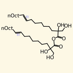 CCCCCCCC/C=C/CCCCCCC(O)(CO)C(=O)OC(=O)C(O)(CO)CCCCCC/C=C/CCCCCCCC